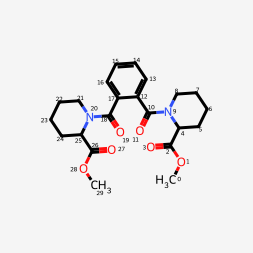 COC(=O)C1CCCCN1C(=O)c1ccccc1C(=O)N1CCCCC1C(=O)OC